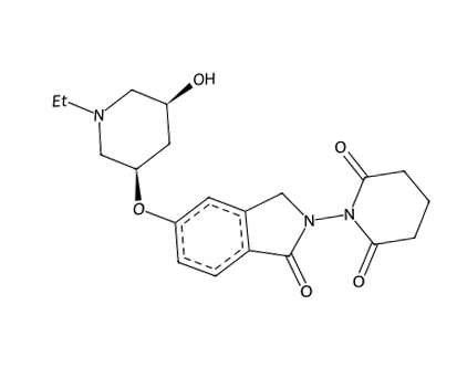 CCN1C[C@@H](O)C[C@@H](Oc2ccc3c(c2)CN(N2C(=O)CCCC2=O)C3=O)C1